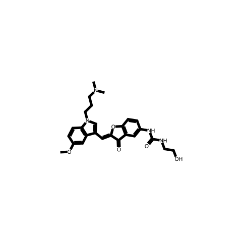 COc1ccc2c(c1)c(/C=C1\Oc3ccc(NC(=O)NCCO)cc3C1=O)cn2CCCN(C)C